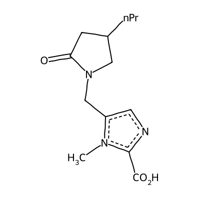 CCCC1CC(=O)N(Cc2cnc(C(=O)O)n2C)C1